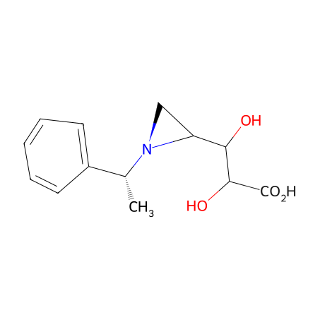 C[C@H](c1ccccc1)[N@@]1CC1C(O)C(O)C(=O)O